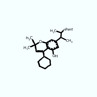 CCCCCC(C)C(C)c1cc(O)c2c(c1)OC(C)(C)C=C2C1CCCCC1